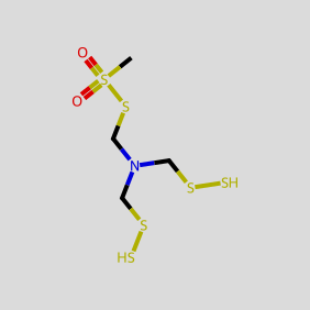 CS(=O)(=O)SCN(CSS)CSS